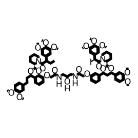 CCC(C(=O)N1CCCC[C@H]1C(=O)OC(CCc1ccc(OC)c(OC)c1)c1cccc(OCC(=O)NCC(O)CNC(=O)COc2cccc(C(CCc3ccc(OC)c(OC)c3)OC(=O)[C@@H]3CCCCN3C(=O)[C@@H](I)c3cc(OC)c(OC)c(OC)c3)c2)c1)c1cc(OC)c(OC)c(OC)c1